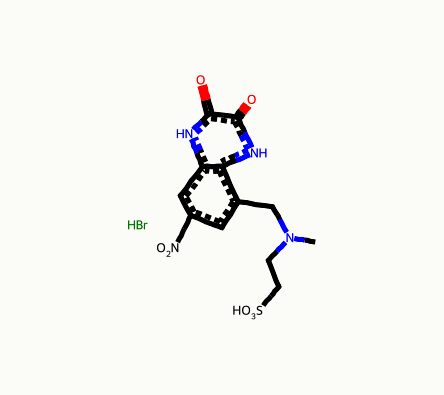 Br.CN(CCS(=O)(=O)O)Cc1cc([N+](=O)[O-])cc2[nH]c(=O)c(=O)[nH]c12